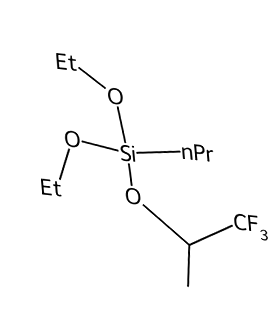 CCC[Si](OCC)(OCC)OC(C)C(F)(F)F